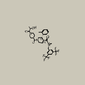 Cc1ccccc1[C@H]1CN(C(=O)C2CCN(C(=O)C(C)O)CC2)CC[C@@H]1C(=O)N(C)Cc1cc(C(F)(F)F)cc(C(F)(F)F)c1